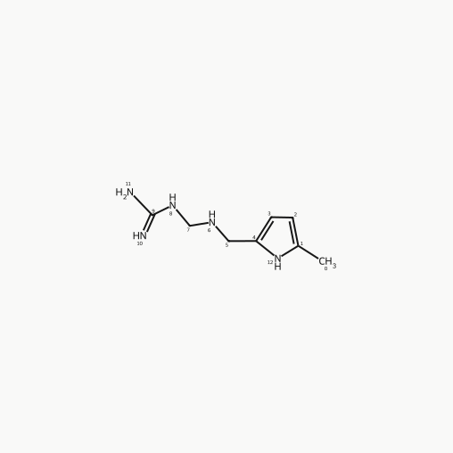 Cc1ccc(CNCNC(=N)N)[nH]1